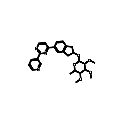 COC1C(C)OC(OC2Cc3ccc(-c4ccnc(-c5cccnc5)n4)cc3C2)C(OC)C1OC